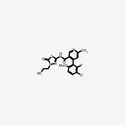 COc1ccc(Cl)c(F)c1-c1cc(C)ncc1C(=O)Nc1nn(CCC#N)c(=O)s1